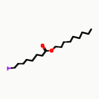 CCCCCCCCCOC(=O)CCCCCCCI